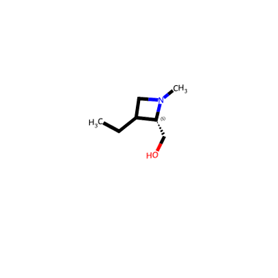 CCC1CN(C)[C@@H]1CO